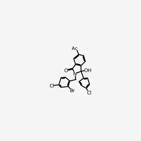 CC(=O)c1ccc2c(c1)C(=O)N(Cc1ccc(Cl)cc1Br)C2(O)c1ccc(Cl)cc1